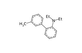 CCN(CC)c1ccccc1-c1cccc(C)c1